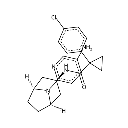 Nc1ccc(N2[C@@H]3CC[C@H]2C[C@@H](NC(=O)C2(c4ccc(Cl)cc4)CC2)C3)nc1